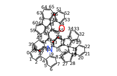 c1ccc(-c2ccccc2N(c2ccc3c(c2)C(c2ccccc2)(c2ccccc2)c2ccccc2-3)c2ccccc2-c2ccc3c(c2)C2(c4ccccc4O3)c3ccccc3-c3ccccc32)cc1